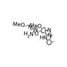 COCCN1CC(C(N)=O)(N(C)Cc2cc3c(Nc4cccc(C)c4F)ncnc3cc2OC)C1